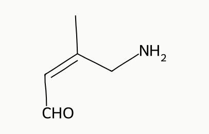 CC(=CC=O)CN